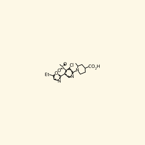 CCc1cnc(-c2cnc(N3CCC(C(=O)O)CC3C)c(Cl)c2S(C)(=O)=O)o1